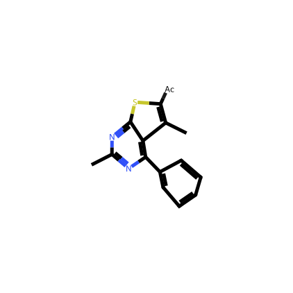 CC(=O)c1sc2nc(C)nc(-c3ccccc3)c2c1C